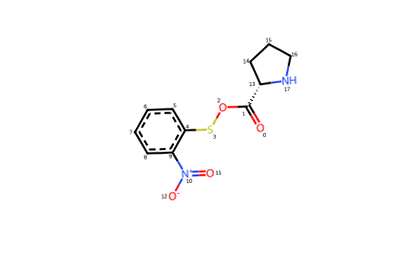 O=C(OSc1ccccc1[N+](=O)[O-])[C@@H]1CCCN1